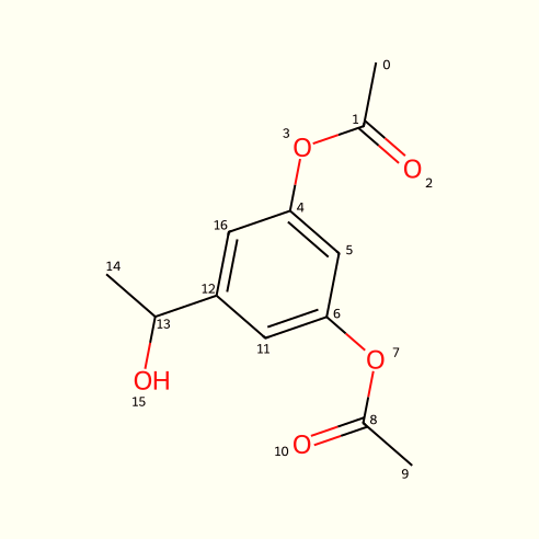 CC(=O)Oc1cc(OC(C)=O)cc(C(C)O)c1